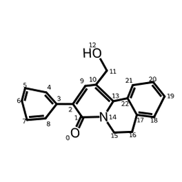 O=c1c(-c2ccccc2)cc(CO)c2n1CCc1ccccc1-2